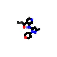 COC(=O)c1ccncc1Nc1cc(C)nn1C1CCOCC1